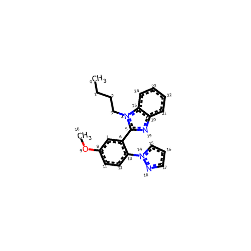 CCCCn1c(-c2cc(OC)ccc2-n2cccn2)nc2ccccc21